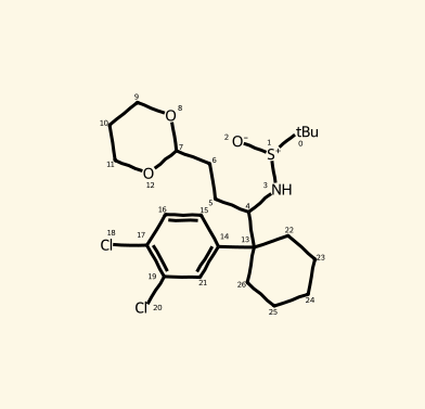 CC(C)(C)[S+]([O-])NC(CCC1OCCCO1)C1(c2ccc(Cl)c(Cl)c2)CCCCC1